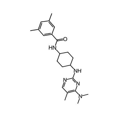 Cc1cc(C)cc(C(=O)NC2CCC(Nc3ncc(C)c(N(C)C)n3)CC2)c1